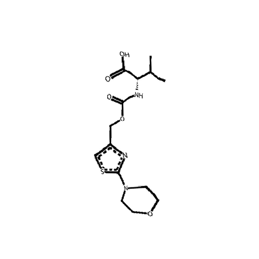 CC(C)[C@H](NC(=O)OCc1csc(N2CCOCC2)n1)C(=O)O